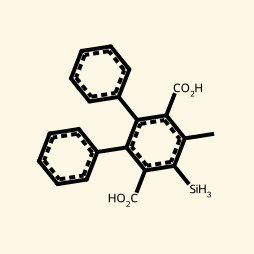 Cc1c([SiH3])c(C(=O)O)c(-c2ccccc2)c(-c2ccccc2)c1C(=O)O